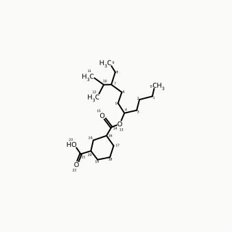 CCCCC(CCC(CC)C(C)C)OC(=O)C1CCCC(C(=O)O)C1